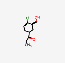 CCC(=O)C1CC=C(Cl)/C(=C\O)C1